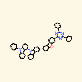 c1ccc(-c2nc(-c3ccccc3)nc(-c3ccc4c(c3)oc3ccc(-c5ccc6c(c5)c5ccccc5n6-c5cccc6c5c5ccccc5n6-c5ccccc5)cc34)n2)cc1